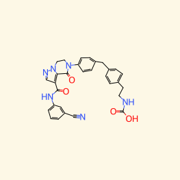 N#Cc1cccc(NC(=O)c2cnn3c2C(=O)N(c2ccc(Cc4ccc(CCNC(=O)O)cc4)cc2)CC3)c1